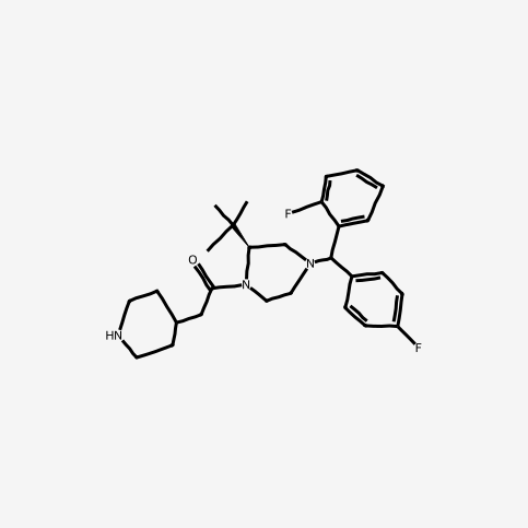 CC(C)(C)[C@H]1CN(C(c2ccc(F)cc2)c2ccccc2F)CCN1C(=O)CC1CCNCC1